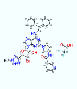 CCn1nnc([C@H]2O[C@@H](n3cnc4c(NCC(c5ccccc5)c5ccccc5)nc(N5CC[C@@H](NC(=O)c6cccnc6)C5)nc43)[C@H](O)[C@@H]2O)n1.O=C(O)C(F)(F)F